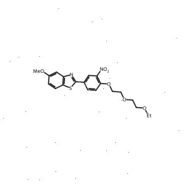 CCOCCOCCOc1ccc(-c2nc3cc(OC)ccc3s2)cc1[N+](=O)[O-]